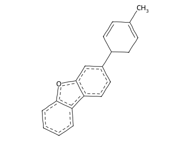 CC1=CCC(c2ccc3c(c2)oc2ccccc23)C=C1